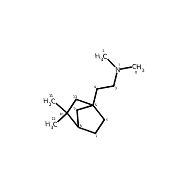 CN(C)CCC12CCC(C1)C(C)(C)C2